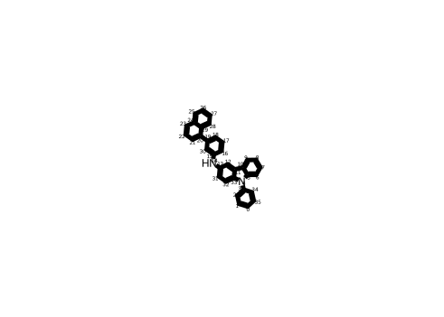 c1ccc(-n2c3ccccc3c3cc(Nc4cccc(-c5cccc6ccccc56)c4)ccc32)cc1